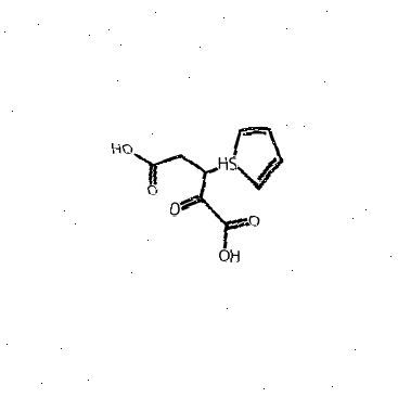 O=C(O)CC(C(=O)C(=O)O)[SH]1C=CC=C1